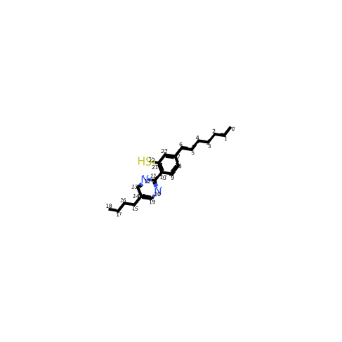 CCCCCCCc1ccc(-c2ncc(CCCC)cn2)c(S)c1